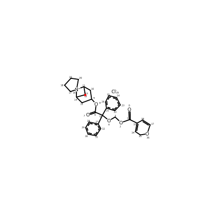 O=C(OCOC(C(=O)OC1CC2CCC(C1)[N+]21CCCC1)(c1ccccc1)c1ccccc1)C1=CCOC=C1.[Cl-]